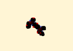 C=C/C=C\C(=C/C)c1cccc(-c2nc(-c3ccccc3)nc(-c3ccc(C(CC)(CC)c4ccc(-c5nc(-c6ccccc6)nc(-c6cccc(-c7ccccc7)c6)n5)cc4)cc3)n2)c1